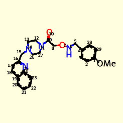 COc1ccc(CNOCC(=O)N2CCN(Cc3ccc4ccccc4n3)CC2)cc1